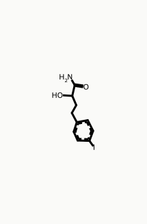 NC(=O)C(O)CCc1ccc(I)cc1